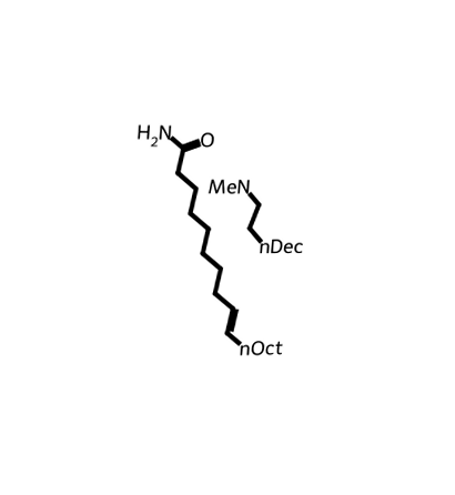 CCCCCCCCC=CCCCCCCCC(N)=O.CCCCCCCCCCCCNC